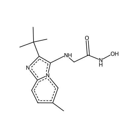 Cc1ccc2nc(C(C)(C)C)c(NCC(=O)NO)n2c1